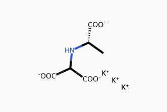 C[C@H](NC(C(=O)[O-])C(=O)[O-])C(=O)[O-].[K+].[K+].[K+]